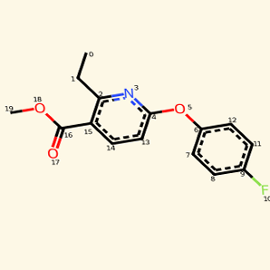 CCc1nc(Oc2ccc(F)cc2)ccc1C(=O)OC